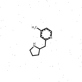 Cc1ccnc(CC2CCCN2)c1